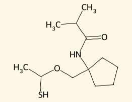 CC(S)OCC1(NC(=O)C(C)C)CCCC1